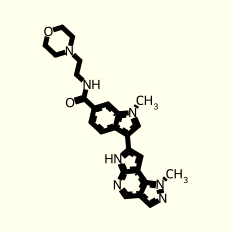 Cn1cc(-c2cc3c(ncc4cnn(C)c43)[nH]2)c2ccc(C(=O)NCCN3CCOCC3)cc21